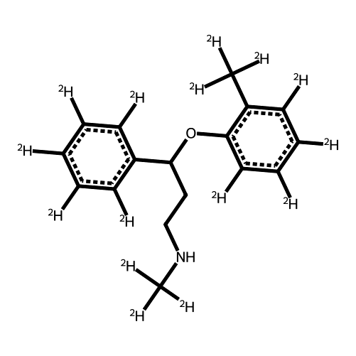 [2H]c1c([2H])c([2H])c(C(CCNC([2H])([2H])[2H])Oc2c([2H])c([2H])c([2H])c([2H])c2C([2H])([2H])[2H])c([2H])c1[2H]